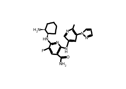 Cc1ncc(Nc2nc(N[C@@H]3CCCC[C@@H]3N)c(F)cc2C(N)=O)cc1-n1cccn1